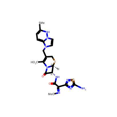 CO/N=C(\C(=O)N[C@@H]1C(=O)N2C(C(=O)O)=C(CN3C=CN4NC(SC)=CC=C34)CS[C@@H]12)c1nsc(N)n1